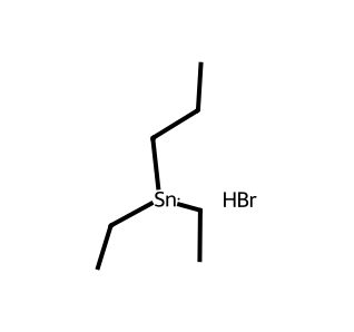 Br.CC[CH2][Sn]([CH2]C)[CH2]C